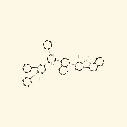 CC1(C)c2cc(-c3ccc(-c4nc(-c5ccccc5)cc(-c5ccc6c(c5)-c5ccccc5C6(C)c5ccccc5)n4)c4ccccc34)ccc2-c2ccc3ccccc3c21